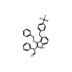 O=CN(c1cccnc1)c1[nH]c2cccc(Cc3ccc(C(F)(F)F)cc3)c2c1OCc1ccccc1